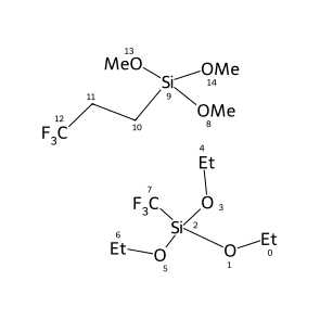 CCO[Si](OCC)(OCC)C(F)(F)F.CO[Si](CCC(F)(F)F)(OC)OC